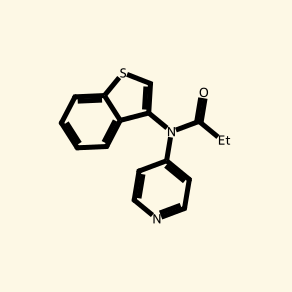 CCC(=O)N(c1ccncc1)c1csc2ccccc12